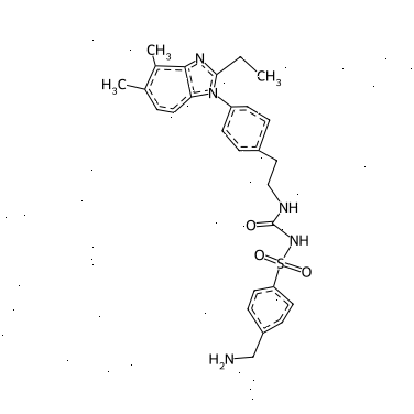 CCc1nc2c(C)c(C)ccc2n1-c1ccc(CCNC(=O)NS(=O)(=O)c2ccc(CN)cc2)cc1